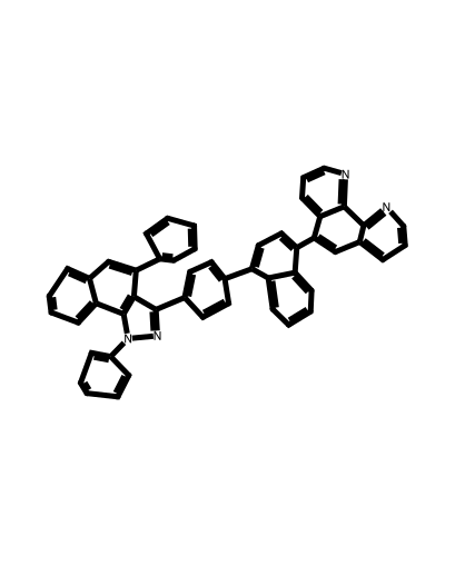 c1ccc(-c2cc3ccccc3c3c2c(-c2ccc(-c4ccc(-c5cc6cccnc6c6ncccc56)c5ccccc45)cc2)nn3-c2ccccc2)cc1